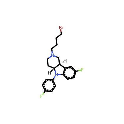 Fc1ccc(N2c3ccc(F)cc3[C@@H]3CN(CCCCBr)CC[C@H]32)cc1